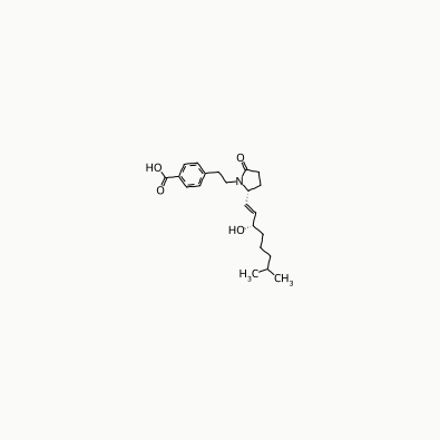 CC(C)CCC[C@H](O)/C=C/[C@H]1CCC(=O)N1CCc1ccc(C(=O)O)cc1